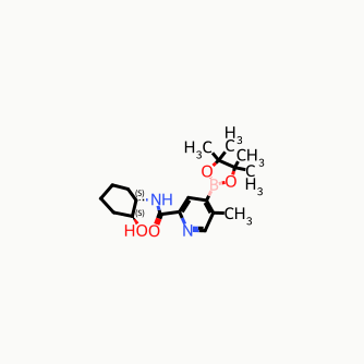 Cc1cnc(C(=O)N[C@H]2CCCC[C@@H]2O)cc1B1OC(C)(C)C(C)(C)O1